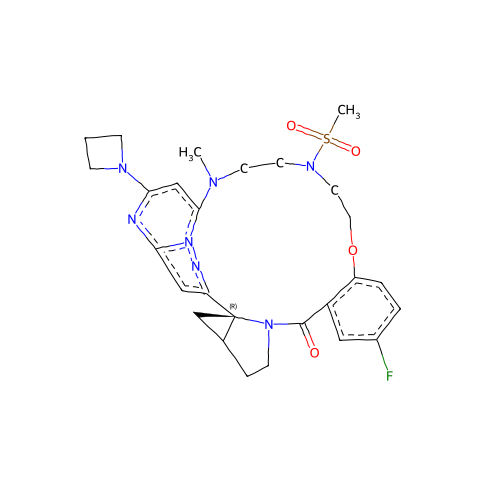 CN1CCN(S(C)(=O)=O)CCOc2ccc(F)cc2C(=O)N2CCC3C[C@]32c2cc3nc(N4CCC4)cc1n3n2